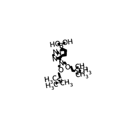 C[Si](C)(C)CCOCN(COCC[Si](C)(C)C)c1ncnn2c(B(O)O)ccc12